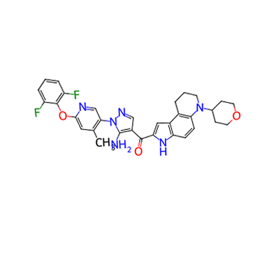 Cc1cc(Oc2c(F)cccc2F)ncc1-n1ncc(C(=O)c2cc3c4c(ccc3[nH]2)N(C2CCOCC2)CCC4)c1N